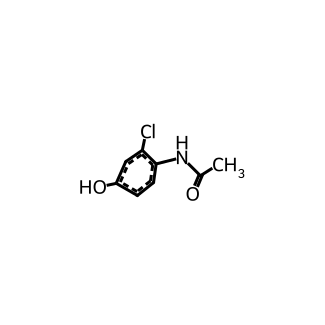 CC(=O)Nc1ccc(O)cc1Cl